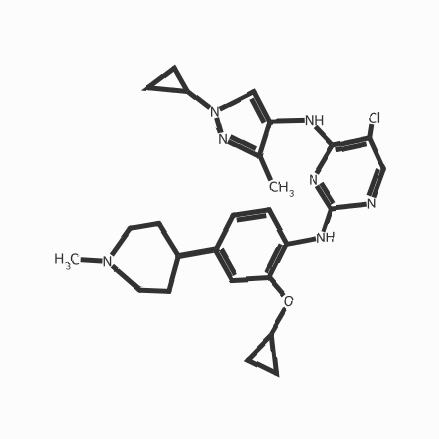 Cc1nn(C2CC2)cc1Nc1nc(Nc2ccc(C3CCN(C)CC3)cc2OC2CC2)ncc1Cl